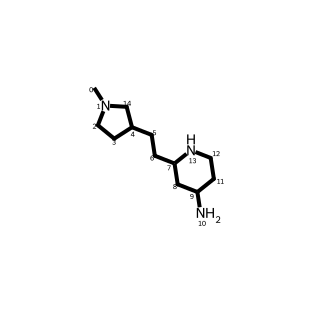 CN1CCC(CCC2CC(N)CCN2)C1